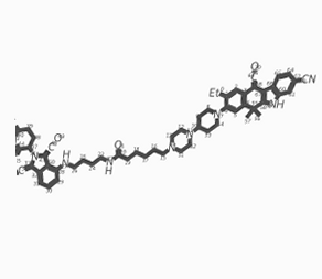 CCc1cc2c(cc1N1CCC(N3CCN(CCCCCC(=O)NCCCCNc4cccc5c(=C=O)n(C6CCC(=C=O)NC6=C=O)c(=C=O)c45)CC3)CC1)C(C)(C)c1[nH]c3cc(C#N)ccc3c1C2=C=O